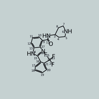 O=C(NC1CCNCC1)c1cccc2[nH]c(-c3ccccc3C(F)(F)F)nc12